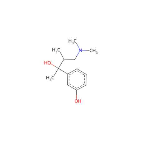 CC(CN(C)C)C(C)(O)c1cccc(O)c1